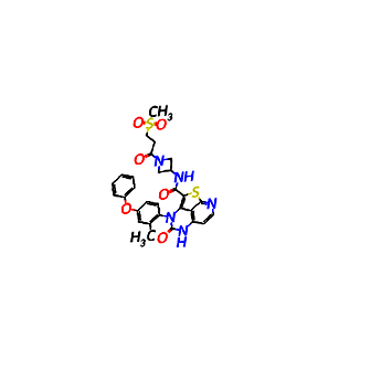 Cc1cc(Oc2ccccc2)ccc1N1C(=O)Nc2ccnc3sc(C(=O)NC4CN(C(=O)CCS(C)(=O)=O)C4)c1c23